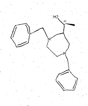 C[C@H](O)C1CN(Cc2ccccc2)CCN1Cc1ccccc1